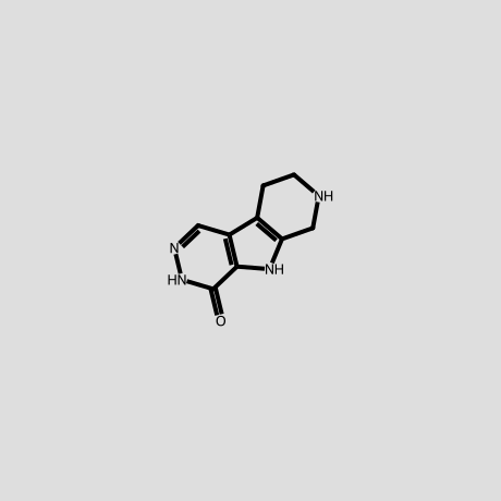 O=c1[nH]ncc2c3c([nH]c12)CNCC3